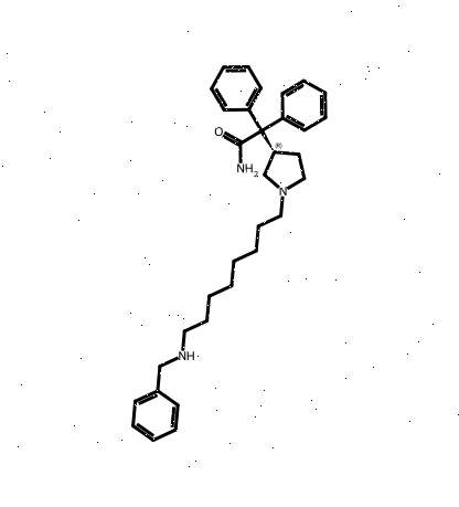 NC(=O)C(c1ccccc1)(c1ccccc1)[C@H]1CCN(CCCCCCCCNCc2ccccc2)C1